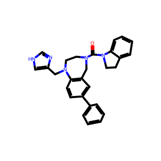 O=C(N1CCN(Cc2c[nH]cn2)c2ccc(-c3ccccc3)cc2C1)N1CCc2ccccc21